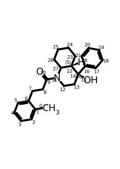 Cc1ccccc1CCC(=O)N1CC[C@@](O)(c2ccccc2)[C@H]2CCCCC21